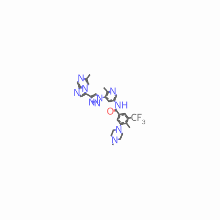 Cc1cn2c(-c3cn(-c4cc(NC(=O)c5cc(N6CCN(C)CC6)c(C)c(C(F)(F)F)c5)cnc4C)nn3)cnc2cn1